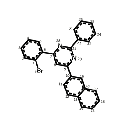 Brc1ccccc1-c1cc(-c2ccc3ccccc3c2)nc(-c2ccccc2)n1